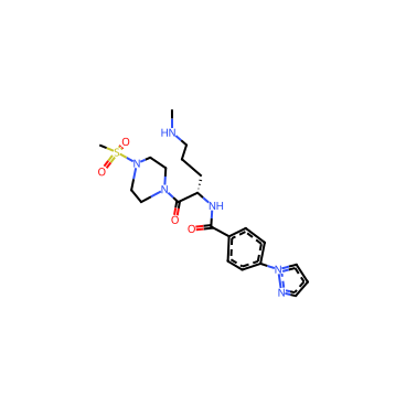 CNCCC[C@H](NC(=O)c1ccc(-n2cccn2)cc1)C(=O)N1CCN(S(C)(=O)=O)CC1